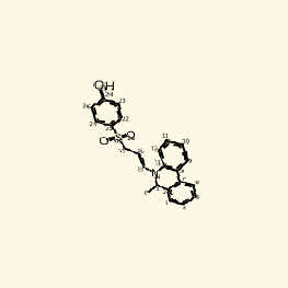 CC1c2ccccc2-c2ccccc2N1C=CCS(=O)(=O)c1ccc(O)cc1